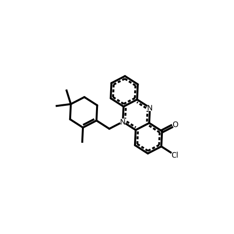 CC1=C(Cn2c3ccc(Cl)c(=O)c-3nc3ccccc32)CCC(C)(C)C1